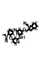 CN(C#N)c1ccccc1Oc1ccnc(Nc2cc(OCC3Cc4ccccc4N3C#N)cc(N)n2)c1